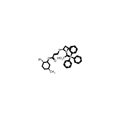 CC(C)[C@@H]1CC[C@H](C)CC1OC(=O)C=CS[C@H]1CC(=O)N1C(C(=O)O)=P(c1ccccc1)(c1ccccc1)c1ccccc1